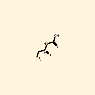 CC[PH](=O)NC(=O)O